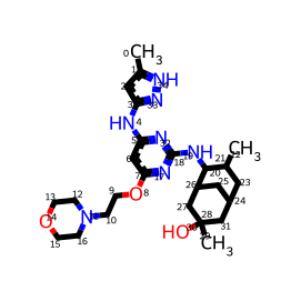 Cc1cc(Nc2cc(OCCN3CCOCC3)nc(NC3C(C)CC4CC3CC(C)(O)C4)n2)n[nH]1